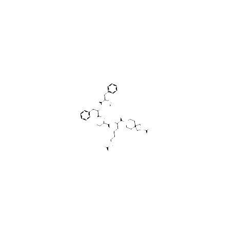 CC(C)CC(NC(=O)C(Cc1ccccc1)NC(=O)C(Cc1ccccc1)NC(=O)O)C(=O)NC(CCCCNC(=O)OC(C)(C)C)C(=O)N1CCC2(CC1)CN(C(=O)C(F)(F)F)C2